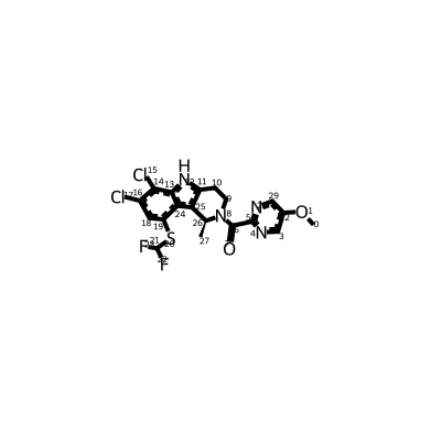 COc1cnc(C(=O)N2CCc3[nH]c4c(Cl)c(Cl)cc(SC(F)F)c4c3[C@@H]2C)nc1